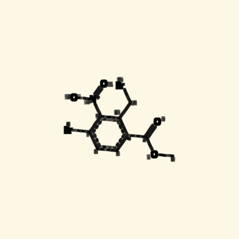 COC(=O)c1ccc(Br)c([N+](=O)[O-])c1CBr